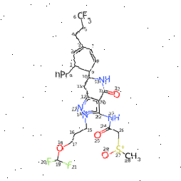 CCCC1C=C(CCC(F)(F)F)C=CC1C1Cc2nn(CCCOC(F)F)c(NC(=O)C[S+](C)[O-])c2C(=O)N1